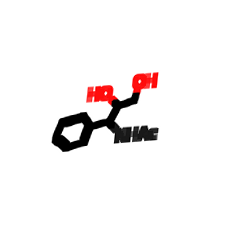 CC(=O)NC(c1ccccc1)C(O)CO